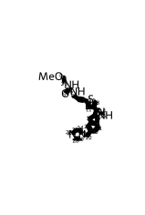 COCCNC(=O)NCC#Cc1cc(-c2n[nH]c3c2Cc2cc(CN4CCN(C)CC4)ccc2-3)cs1